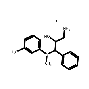 Cc1cccc(N(C)C(c2ccccc2)C(O)CN)c1.Cl